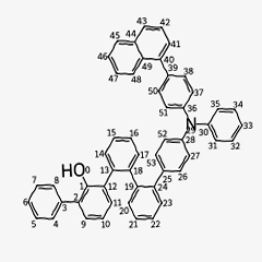 Oc1c(-c2ccccc2)cccc1-c1ccccc1-c1ccccc1-c1ccc(N(c2ccccc2)c2ccc(-c3cccc4ccccc34)cc2)cc1